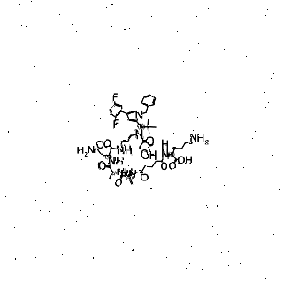 C[C@H](NC(=O)CCCC(=O)N[C@@H](CCCCN)C(=O)O)C(=O)N[C@@H](C)C(=O)N[C@@H](CC(N)=O)C(=O)NCCCN(C(=O)CO)[C@@H](c1cc(-c2cc(F)ccc2F)cn1Cc1ccccc1)C(C)(C)C